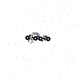 Cc1cc2c(cc1-c1ncc3ccccc3n1)/C(=N/C#N)c1cc(-c3ncc4ccccc4n3)c(C(F)(F)F)cc1-2